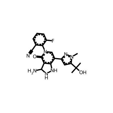 Cn1nc(-c2cn(-c3c(F)cccc3C#N)c(=O)c3c2NNC3N)cc1C(C)(C)O